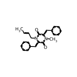 CC=CCn1c(=O)/c(=C/c2ccccc2)n(C)c(=O)/c1=C/c1ccccc1